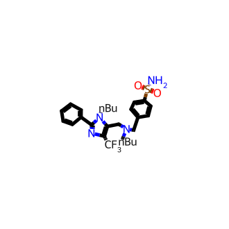 CCCCN(Cc1ccc(S(N)(=O)=O)cc1)Cc1c(C(F)(F)F)nc(-c2ccccc2)n1CCCC